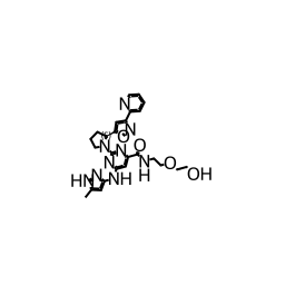 Cc1cc(Nc2cc(C(=O)NCCOCCO)nc(N3CCC[C@H]3c3cc(-c4ccccn4)no3)n2)n[nH]1